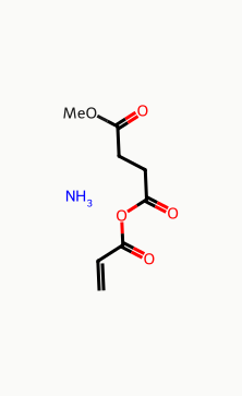 C=CC(=O)OC(=O)CCC(=O)OC.N